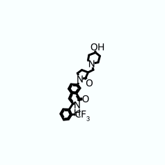 O=C1C(CN2CCC(O)CC2)CCN1c1ccc2cc(-c3ccccc3C(F)(F)F)[nH]c(=O)c2c1